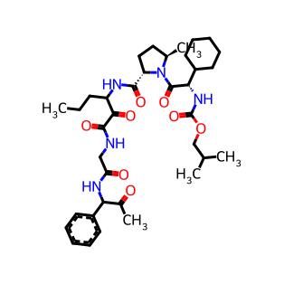 CCCC(NC(=O)[C@@H]1CC[C@@H](C)N1C(=O)[C@@H](NC(=O)OCC(C)C)C1CCCCC1)C(=O)C(=O)NCC(=O)NC(C(C)=O)c1ccccc1